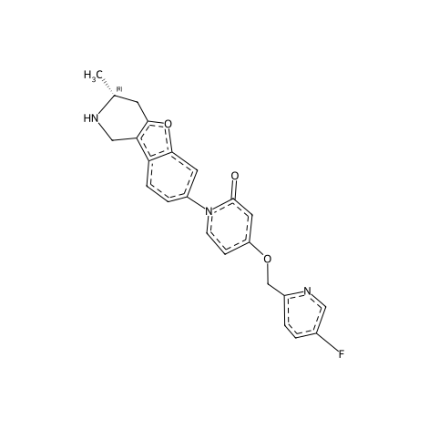 C[C@@H]1Cc2oc3cc(-n4ccc(OCc5ccc(F)cn5)cc4=O)ccc3c2CN1